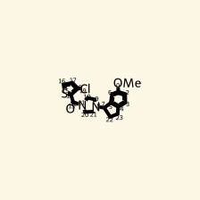 COc1ccc2c(c1)C(N1CCN(C(=O)c3sccc3Cl)CC1)CC2